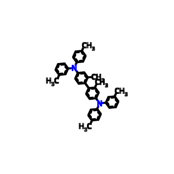 Cc1ccc(N(c2cccc(C)c2)c2ccc(-c3ccc(N(c4ccc(C)cc4)c4cccc(C)c4)cc3C)c(C)c2)cc1